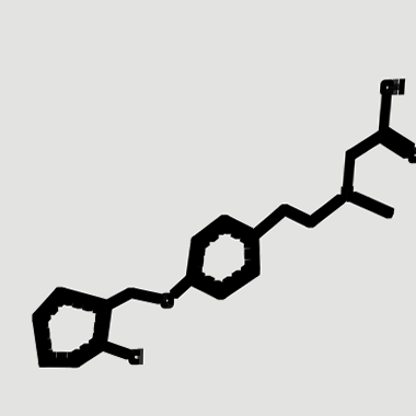 CN(CCc1ccc(OCc2ccccc2Cl)cc1)CC(=O)O